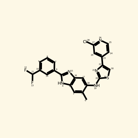 Cc1cc2[nH]c(-c3cccc(C(F)F)c3)nc2cc1Nc1nc(-c2ccnc(Cl)c2)cs1